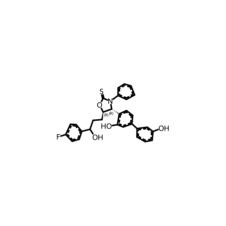 Oc1cccc(-c2ccc([C@@H]3[C@@H](CCC(O)c4ccc(F)cc4)OC(=S)N3c3ccccc3)c(O)c2)c1